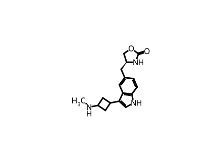 CNC1CC(c2c[nH]c3ccc(C[C@H]4COC(=O)N4)cc23)C1